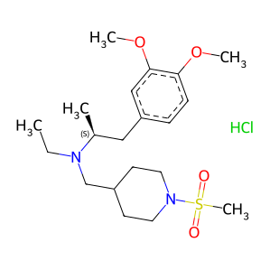 CCN(CC1CCN(S(C)(=O)=O)CC1)[C@@H](C)Cc1ccc(OC)c(OC)c1.Cl